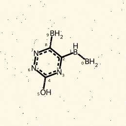 BBc1nc(O)nnc1B